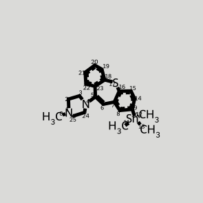 CN1CCN(C2=Cc3c[c]([Sn]([CH3])([CH3])[CH3])ccc3Sc3ccccc32)CC1